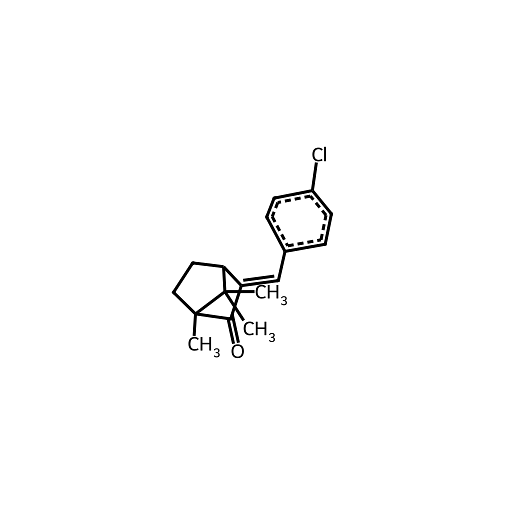 CC12CCC(C(=Cc3ccc(Cl)cc3)C1=O)C2(C)C